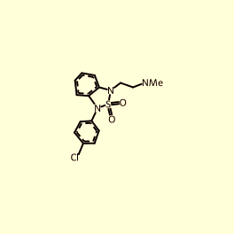 CNCCN1c2ccccc2N(c2ccc(Cl)cc2)S1(=O)=O